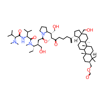 C=C(CCCC(=O)[C@H](C)[C@@H](CO)C1CCCN1C(=O)C[C@@H](CO)[C@H](CC)N(C)C(=O)[C@@H](NC(=O)[C@H](C(C)C)N(C)C)C(C)C)[C@@H]1CC[C@]2(CO)CC[C@]3(C)C(CCC4[C@@]5(C)CC[C@H](COC=O)C(C)(C)[C@@H]5CC[C@]43C)[C@@H]12